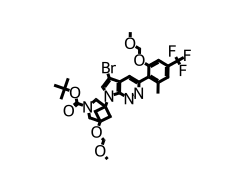 COCOc1cc(C(F)(F)F)cc(C)c1-c1cc2c(Br)cn(C34CN(C(=O)OC(C)(C)C)CC(OCOC)(C3)C4)c2nn1